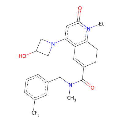 CCn1c2c(c(N3CC(O)C3)cc1=O)C=C(C(=O)N(C)Cc1cccc(C(F)(F)F)c1)CC2